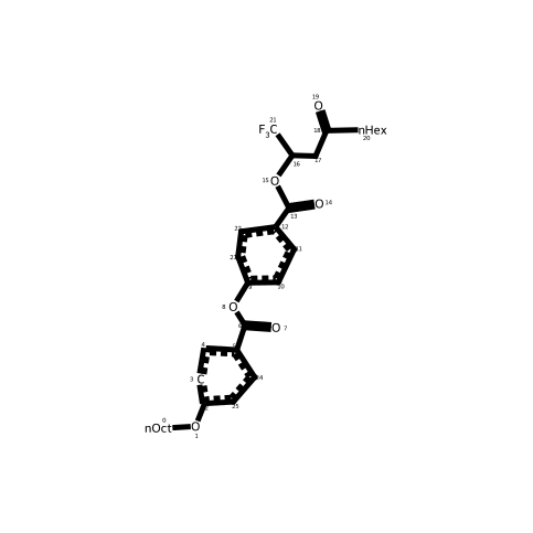 CCCCCCCCOc1ccc(C(=O)Oc2ccc(C(=O)OC(CC(=O)CCCCCC)C(F)(F)F)cc2)cc1